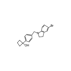 OC1(c2ccc(CN3CCc4cc(Br)ccc43)cc2)CCC1